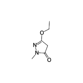 CCOC1=NN(C)C(=O)C1